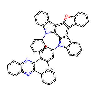 N#Cc1cc(-n2c3ccccc3c3c4c5ccccc5oc4c4c5ccccc5n(-c5ccccc5)c4c32)ccc1-c1nc2ccccc2nc1-c1ccccc1